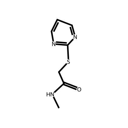 CNC(=O)CSc1ncccn1